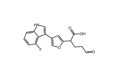 O=CCCC(C(=O)O)c1cc(-c2c[nH]c3cccc(F)c23)co1